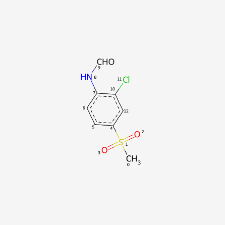 CS(=O)(=O)c1ccc(NC=O)c(Cl)c1